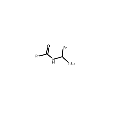 CCCCC(NC(=O)C(C)C)C(C)C